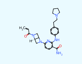 C=CC(=O)N1CC2[C@H]1CN2c1ccc(C(N)=O)c(Nc2ccc(CCN3CCCC3)cc2)n1